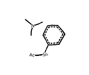 CN(C)C.C[C](=O)[Sn][c]1ccccc1